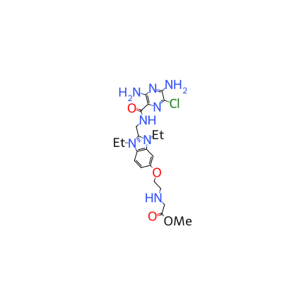 CCn1c(CNC(=O)c2nc(Cl)c(N)nc2N)[n+](CC)c2ccc(OCCNCC(=O)OC)cc21